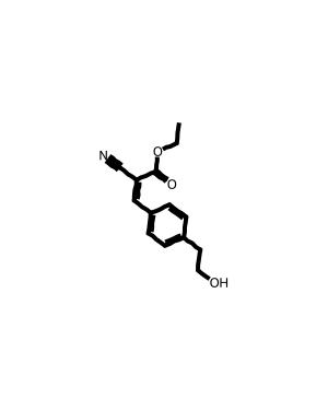 CCOC(=O)C(C#N)=Cc1ccc(CCO)cc1